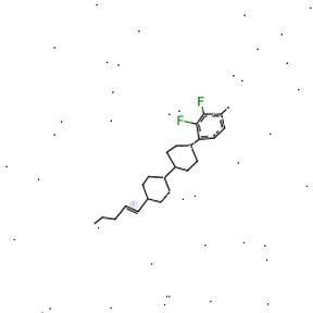 CCC/C=C/C1CCC(C2CCC(c3ccc(C)c(F)c3F)CC2)CC1